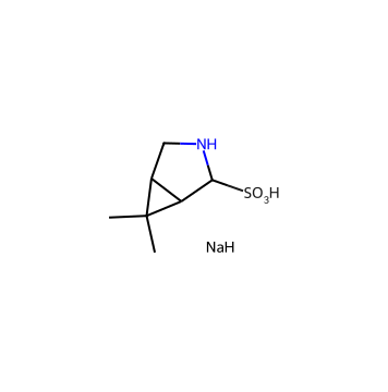 CC1(C)C2CNC(S(=O)(=O)O)C21.[NaH]